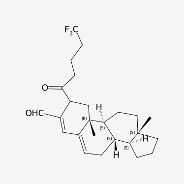 C[C@@]12CCC[C@H]1[C@@H]1CC=C3C=C(C=O)C(C(=O)CCCC(F)(F)F)C[C@]3(C)[C@H]1CC2